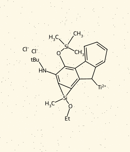 CCO[Si]1(C)c2c(NC(C)(C)C)c(O[Si](C)(C)C)c3c(c21)[CH]([Ti+2])c1ccccc1-3.[Cl-].[Cl-]